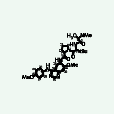 CNC(C)C(=O)NC(C(=O)N1CCCC1C(=O)Nc1cc2c(Nc3ccc(OC)cc3)ncnc2cc1OC)C(C)(C)C